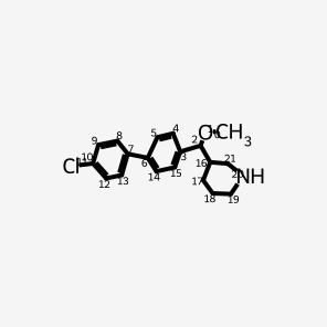 COC(c1ccc(-c2ccc(Cl)cc2)cc1)C1CCCNC1